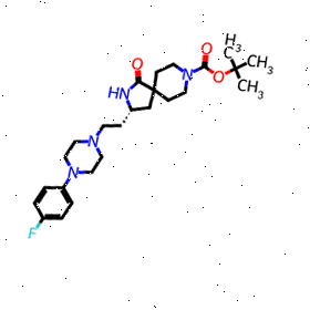 CC(C)(C)OC(=O)N1CCC2(CC1)C[C@H](CCN1CCN(c3ccc(F)cc3)CC1)NC2=O